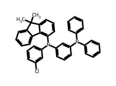 CC1(C)c2ccccc2-c2c(N(c3cccc(Cl)c3)c3cccc(N(c4ccccc4)c4ccccc4)c3)cccc21